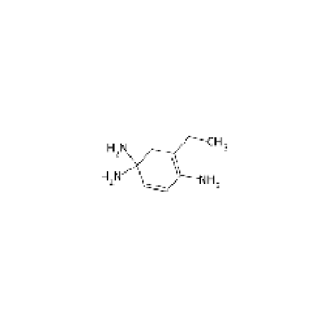 CCC1=C(N)C=CC(N)(N)C1